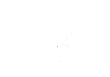 CCN1C[C@H](Cn2ncc3ncc(-c4ccc(F)c(C(F)F)c4)cc32)OC1=O